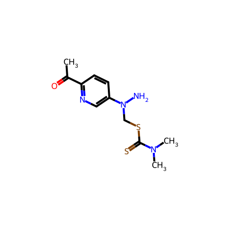 CC(=O)c1ccc(N(N)CSC(=S)N(C)C)cn1